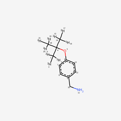 [2H]C([2H])([2H])C(Oc1ccc(CN)cc1)(C([2H])([2H])[2H])C([2H])([2H])[2H]